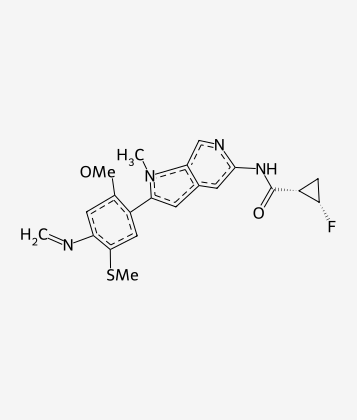 C=Nc1cc(OC)c(-c2cc3cc(NC(=O)[C@@H]4C[C@@H]4F)ncc3n2C)cc1SC